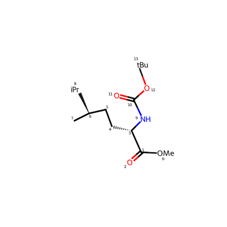 COC(=O)[C@H](CC[C@@H](C)C(C)C)NC(=O)OC(C)(C)C